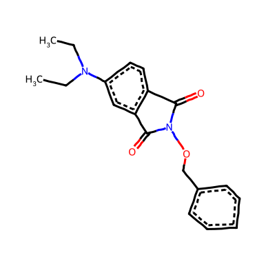 CCN(CC)c1ccc2c(c1)C(=O)N(OCc1ccccc1)C2=O